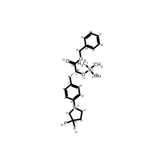 CC(C)(C)[Si](C)(C)O[C@H](Cc1ccc(N2CCC(F)(F)C2)cc1)C(=O)OCc1ccccc1